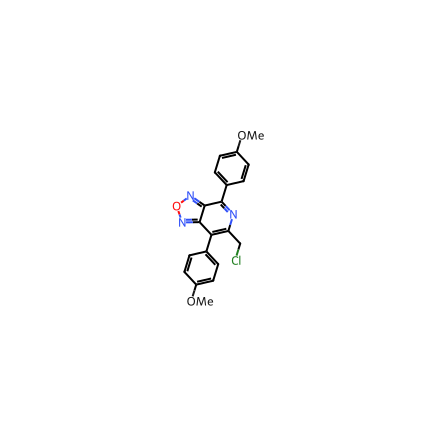 COc1ccc(-c2nc(CCl)c(-c3ccc(OC)cc3)c3nonc23)cc1